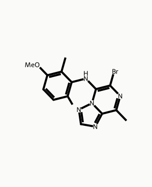 COc1ccc(C)c(Nc2c(Br)nc(C)c3ncnn23)c1C